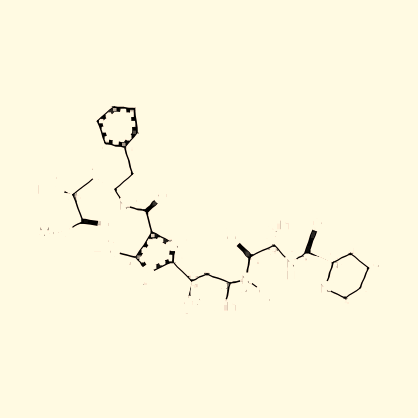 COC(=O)[C@@H](C)C[C@H](Cc1ccccc1)NC(=O)c1nc([C@@H](CC(C(C)C)N(C)C(=O)[C@@H](NC(=O)[C@H]2CCCCN2)C(C)C)OC(C)=O)sc1C